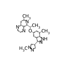 Cc1cc2nccnc2c(C(C)Oc2cc(C)c3[nH]nc(-c4cnn(C)c4)c3c2)n1